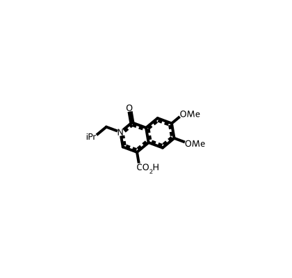 COc1cc2c(C(=O)O)cn(CC(C)C)c(=O)c2cc1OC